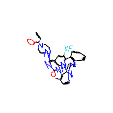 C=CC(=O)N1CCN(c2nc(=O)n(-c3c(C)ccnc3C(C)C)c3nc(-c4c(N)cccc4F)c(F)cc23)CC1